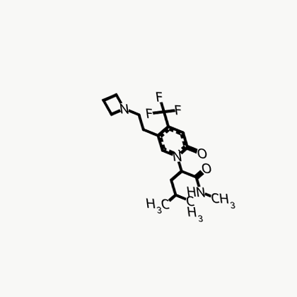 CNC(=O)C(CC(C)C)n1cc(CCN2CCC2)c(C(F)(F)F)cc1=O